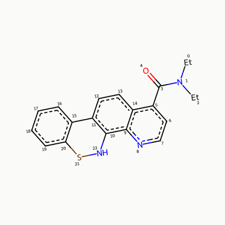 CCN(CC)C(=O)c1ccnc2c3c(ccc12)-c1ccccc1SN3